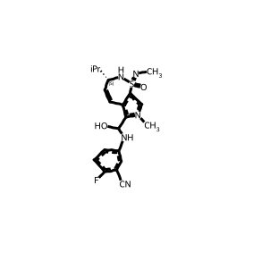 CN=S1(=O)N[C@@H](C(C)C)C=Cc2c1cn(C)c2C(O)Nc1ccc(F)c(C#N)c1